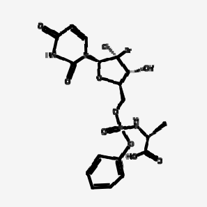 C[C@H](NP(=O)(OC[C@H]1O[C@@H](n2ccc(=O)[nH]c2=O)[C@@](Cl)(Br)[C@@H]1O)Oc1ccccc1)C(=O)O